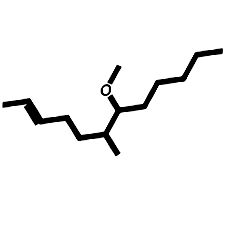 CC=CCCC(C)C(CCCCC)OC